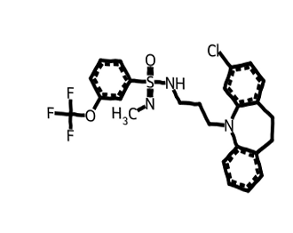 CN=S(=O)(NCCCN1c2ccccc2CCc2ccc(Cl)cc21)c1cccc(OC(F)(F)F)c1